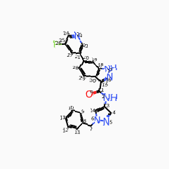 O=C(Nc1cnn(Cc2ccccc2)c1)c1n[nH]c2cc(-c3cncc(F)c3)ccc12